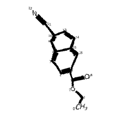 CCOC(=O)c1ccc2cc(C#N)ccc2c1